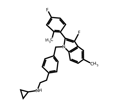 Cc1ccc2c(c1)c(F)c(-c1ccc(F)cc1C)n2Cc1ccc(CCNC2CC2)cc1